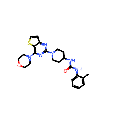 Cc1ccccc1NC(=O)NC1CCN(c2nc(N3CCOCC3)c3sccc3n2)CC1